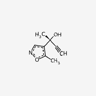 C#C[C@@](C)(O)c1cnoc1C